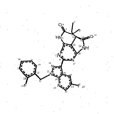 CC1(C)C(=O)Nc2nc(-c3nn(Cc4ccccc4F)c4ncc(F)cc34)nc3c2C1(C)C(=O)N3